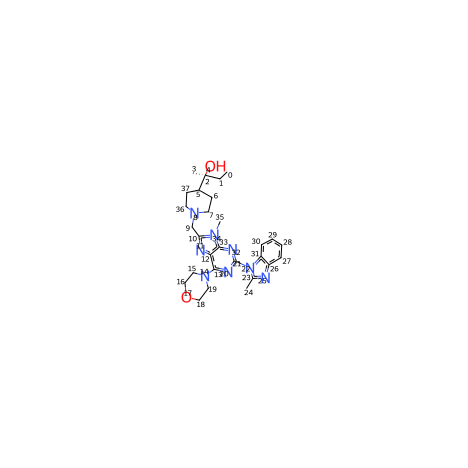 CC[C@](C)(O)C1CCN(Cc2nc3c(N4CCOCC4)nc(-n4c(C)nc5ccccc54)nc3n2C)CC1